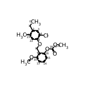 CCc1cc(Cl)c(OCc2c(OC)cccc2OC(=O)OC)cc1C